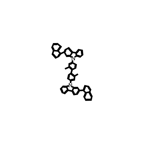 Cc1cc(-n2c3ccccc3c3ccc(-c4cccc5ccccc45)cc32)ccc1-c1ccc(-n2c3ccccc3c3ccc(-c4cccc5ccccc45)cc32)cc1C